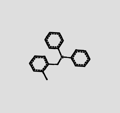 Cc1ccccc1CN(c1ccccc1)c1ccccc1